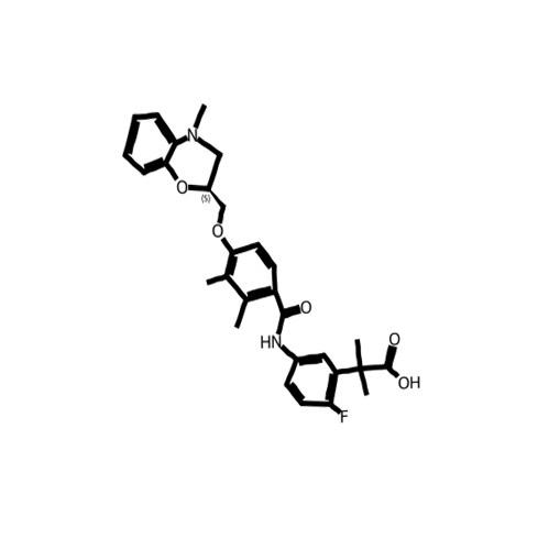 Cc1c(OC[C@@H]2CN(C)c3ccccc3O2)ccc(C(=O)Nc2ccc(F)c(C(C)(C)C(=O)O)c2)c1C